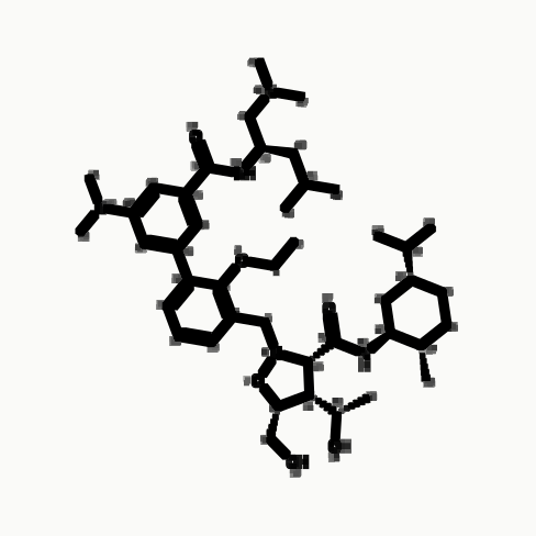 CCOc1c(CN2O[C@@H](CO)[C@@H]([C@H](C)O)[C@H]2C(=O)N[C@H]2C[C@H](C(C)C)CC[C@@H]2C)cccc1-c1cc(C(=O)N[C@H](CC(C)C)CN(C)C)cc(N(C)C)c1